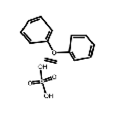 C=C.O=S(=O)(O)O.c1ccc(Oc2ccccc2)cc1